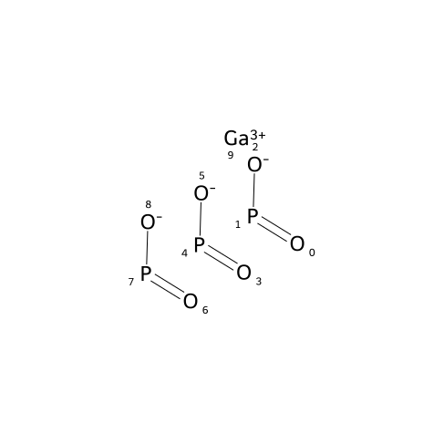 O=P[O-].O=P[O-].O=P[O-].[Ga+3]